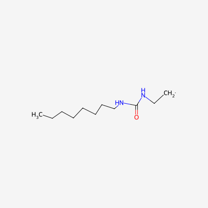 [CH2]CNC(=O)NCCCCCCCC